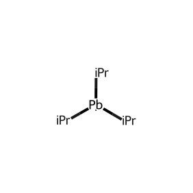 C[CH](C)[Pb]([CH](C)C)[CH](C)C